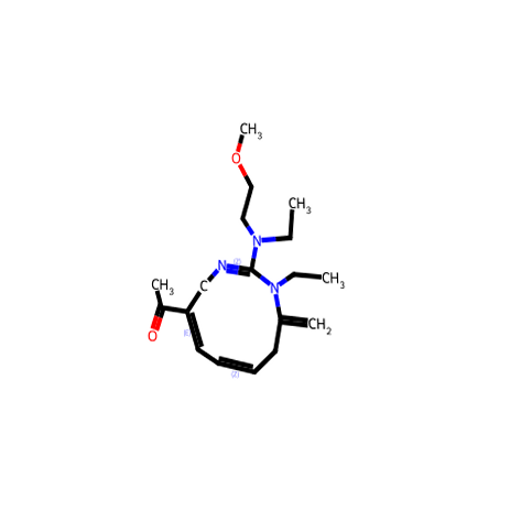 C=C1C/C=C\C=C(\C(C)=O)C/N=C(/N(CC)CCOC)N1CC